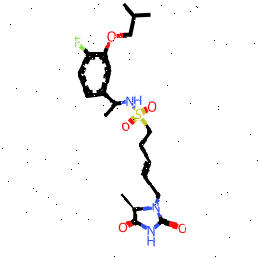 CC(C)COc1cc(C(C)NS(=O)(=O)CC/C=C/CN2C(=O)NC(=O)[C@H]2C)ccc1F